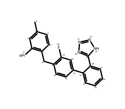 CCCc1cc(C)ccc1Cc1ccc(-c2ccccc2-c2nnn[nH]2)cc1F